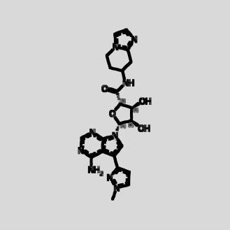 Cn1ccc(-c2cn([C@@H]3O[C@H](C(=O)NC4CCn5ccnc5C4)[C@@H](O)[C@H]3O)c3ncnc(N)c23)n1